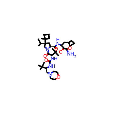 CC(C)[C@@]1(C2(C)CCC2)C[C@@H](C(=O)NC(CC2CCC2)C(=O)C(N)=O)N(C(=O)[C@@H](NC(=O)N[C@@H](CN2CCOCC2)C(C)(C)C)C(C)(C)C)C1